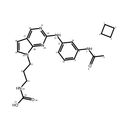 C1CCC1.CC(=O)Nc1cccc(Nc2ncc3ccn(CCCNC(=O)O)c3n2)c1